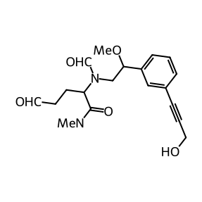 CNC(=O)C(CCC=O)N(C=O)CC(OC)c1cccc(C#CCO)c1